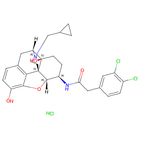 Cl.O=C(Cc1ccc(Cl)c(Cl)c1)N[C@@H]1CC[C@@]2(O)[C@H]3Cc4ccc(O)c5c4[C@@]2(CCN3CC2CC2)[C@H]1O5